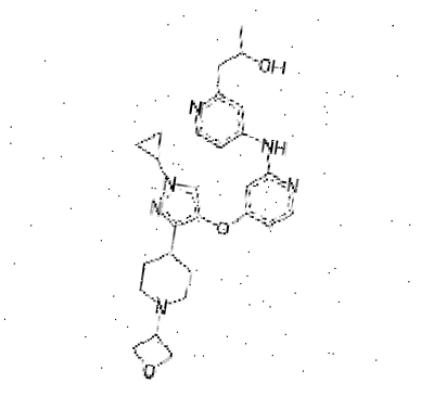 CC(O)Cc1cc(Nc2cc(Oc3cn(C4CC4)nc3C3CCN(C4COC4)CC3)ccn2)ccn1